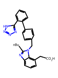 CCCCc1nc2cccc(CC(=O)O)c2n1Cc1ccc(-c2ccccc2-c2nnn[nH]2)cc1